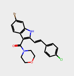 O=C(c1c(/C=C/c2ccc(Cl)cc2)[nH]c2cc(Br)ccc12)N1CCOCC1